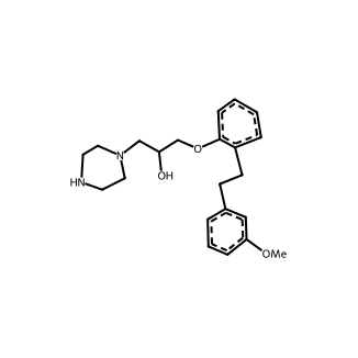 COc1cccc(CCc2ccccc2OCC(O)CN2CCNCC2)c1